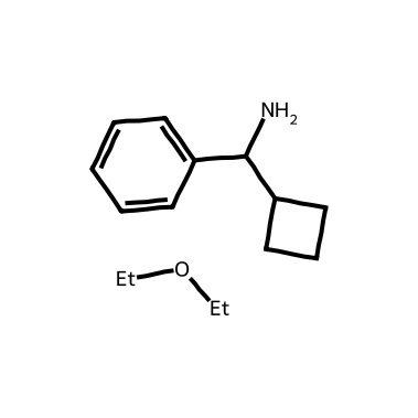 CCOCC.NC(c1ccccc1)C1CCC1